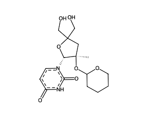 C[C@@]1(OC2CCCCO2)CC(CO)(CO)O[C@H]1n1ccc(=O)[nH]c1=O